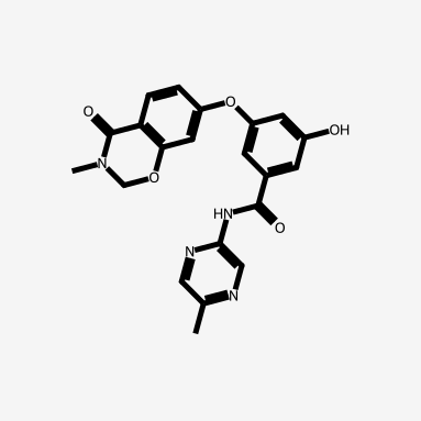 Cc1cnc(NC(=O)c2cc(O)cc(Oc3ccc4c(c3)OCN(C)C4=O)c2)cn1